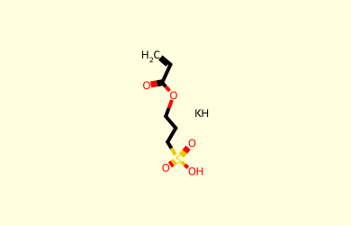 C=CC(=O)OCCCS(=O)(=O)O.[KH]